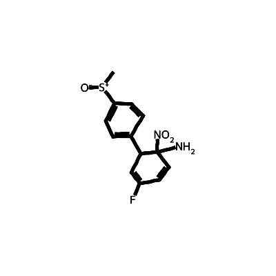 C[S+]([O-])c1ccc(C2C=C(F)C=CC2(N)[N+](=O)[O-])cc1